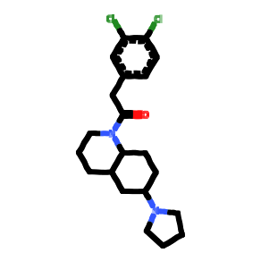 O=C(Cc1ccc(Cl)c(Cl)c1)N1CCCC2CC(N3CCCC3)CCC21